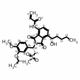 C=CC(=O)Nc1ccc([C@@H](O)CCCC)c2c1C(=O)N([C@H](CS(C)(=O)=O)c1ccc(OC)c(OCC)c1)C2=O